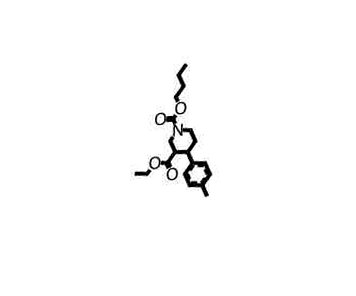 CCCCOC(=O)N1CCC(c2ccc(C)cc2)C(C(=O)OCC)C1